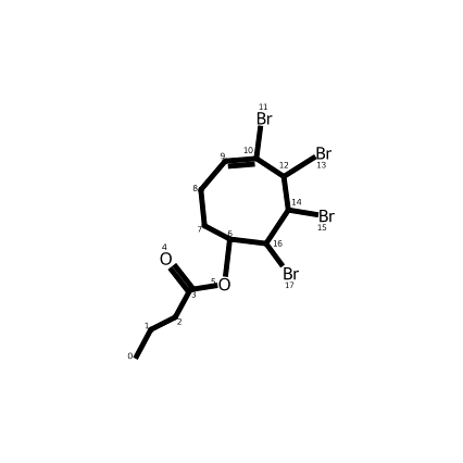 CCCC(=O)OC1CCC=C(Br)C(Br)C(Br)C1Br